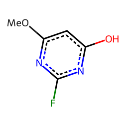 COc1cc(O)nc(F)n1